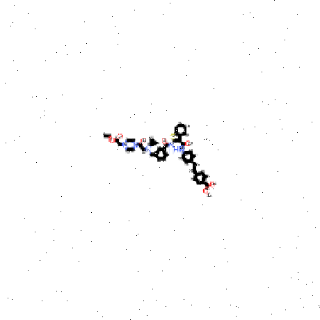 CCOC(=O)CN1CCN(C(=O)CN(Cc2cccc(C(=O)Nc3sc4c(c3C(=O)Nc3ccc(CCc5ccc(C(=O)OC)cc5)cc3)CCCC4)c2)C2CC2)CC1